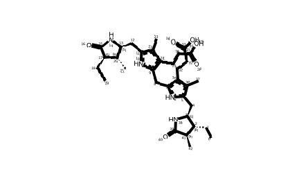 CC[C@H]1[C@H](Cc2[nH]c(Cc3[nH]c(C[C@@H]4NC(=O)[C@H](CC)[C@H]4C)c(C)c3CCC(=O)O)c(CCC(=O)O)c2C)NC(=O)[C@@H]1C